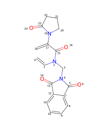 C=CN(CN1C(=O)c2ccccc2C1=O)C(=O)C(=C)N1CCCC1=O